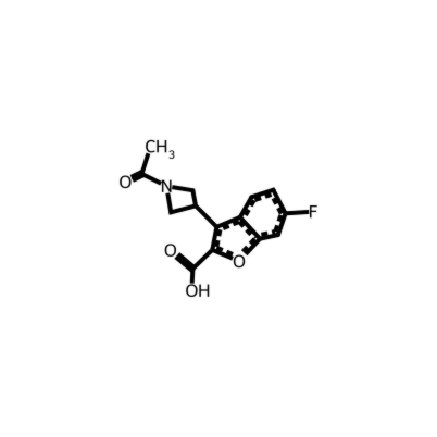 CC(=O)N1CC(c2c(C(=O)O)oc3cc(F)ccc23)C1